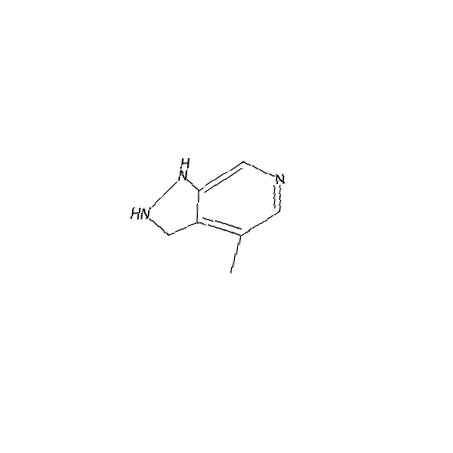 Cc1cncc2c1CNN2